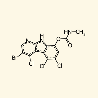 CNC(=O)Oc1cc(Cl)c(Cl)c2c1[nH]c1ncc(Br)c(Cl)c12